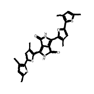 Cc1cc(C)c(-c2cc(C)c(C3=C4C(=O)NC(c5oc(-c6sc(C)cc6C)cc5C)=C4C(=O)N3)o2)s1